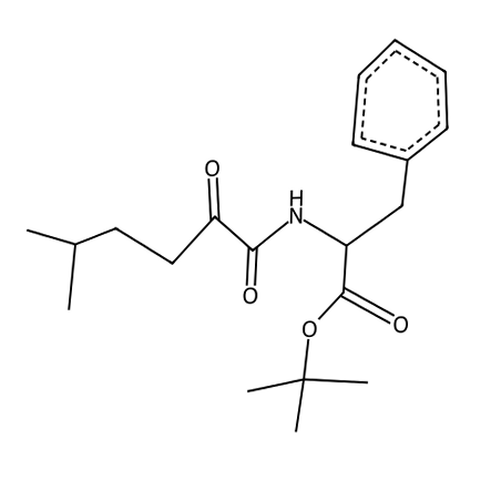 CC(C)CCC(=O)C(=O)NC(Cc1ccccc1)C(=O)OC(C)(C)C